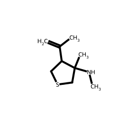 C=C(C)C1CSCC1(C)NC